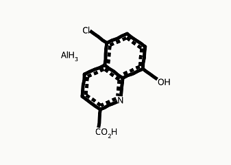 O=C(O)c1ccc2c(Cl)ccc(O)c2n1.[AlH3]